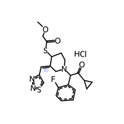 COCC(=O)SC1CCN(C(C(=O)C2CC2)c2ccccc2F)C/C1=C\c1csnn1.Cl